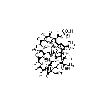 C/C=C\C[C@H](C)[C@@H]1ON(C(=O)[C@@H](C(C)C)N(C)C(=O)[C@@H](CC(C)C)N(C)C(=O)[C@@H](CC(C)C)N(C)C(=O)[C@H](C)NC(=O)[C@@H](C)NC(=O)[C@H](CC(C)C)N(C)C(=O)[C@@H](NC(=O)[C@@H](N(C)C(=O)[C@H](C)NC)C(C)(C)C(OC)OC)C(C)C)[C@H]1C(=O)N[C@H](CC)C(=O)O